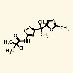 Cc1ncc(C(C)(C)c2cc(NC(=O)C(C)(C)C)on2)o1